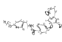 COc1ccc(CCNC(=O)c2ccc(Oc3cc4c(cc3Cl)CCCO4)cc2)cn1